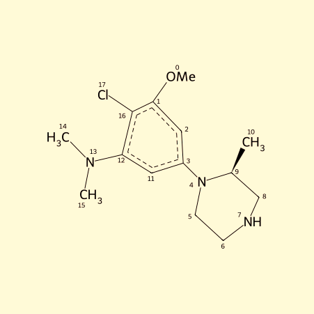 COc1cc(N2CCNC[C@@H]2C)cc(N(C)C)c1Cl